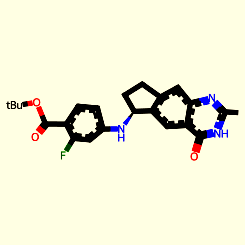 Cc1nc2cc3c(cc2c(=O)[nH]1)[C@@H](Nc1ccc(C(=O)OC(C)(C)C)c(F)c1)CC3